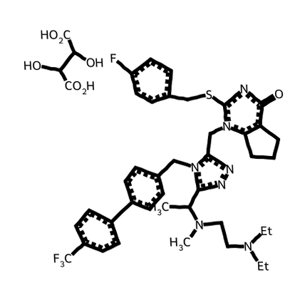 CCN(CC)CCN(C)C(C)c1nnc(Cn2c(SCc3ccc(F)cc3)nc(=O)c3c2CCC3)n1Cc1ccc(-c2ccc(C(F)(F)F)cc2)cc1.O=C(O)C(O)C(O)C(=O)O